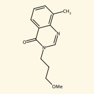 COCCCn1cnc2c(C)cccc2c1=O